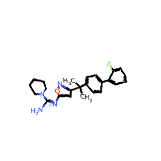 CC(C)(c1ccc(-c2ccccc2F)cc1)c1cc(/N=C(/N)N2CCCCC2)on1